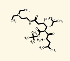 CCN(CC)CCNC(=O)C[C@H](O)[C@H](CC(C)C)N(C(=O)OC(C)(C)C)C(=O)[C@@H](N)CC(C)C